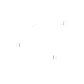 CCC(=O)C(C)(C)I